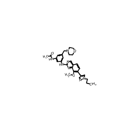 CCCn1cc(-c2ccc3cnc(Nc4cc(CN5CCOCC5)cc(NC(C)=O)c4)nc3c2OC)cn1